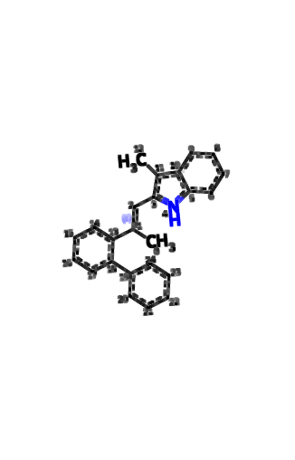 C/C(=C\c1[nH]c2ccccc2c1C)c1ccccc1-c1ccccc1